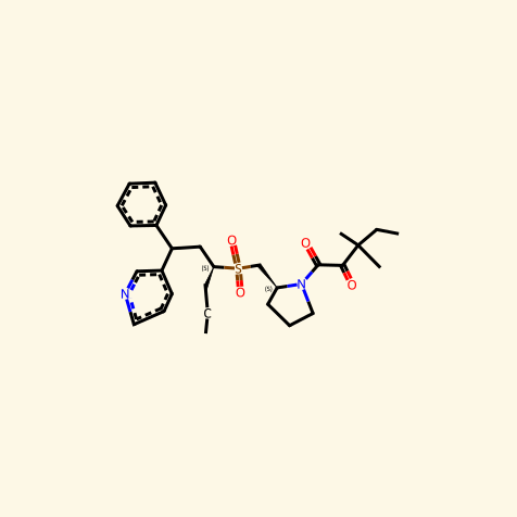 CCC[C@@H](CC(c1ccccc1)c1cccnc1)S(=O)(=O)C[C@@H]1CCCN1C(=O)C(=O)C(C)(C)CC